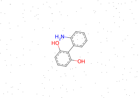 Nc1ccccc1-c1c(O)cccc1O